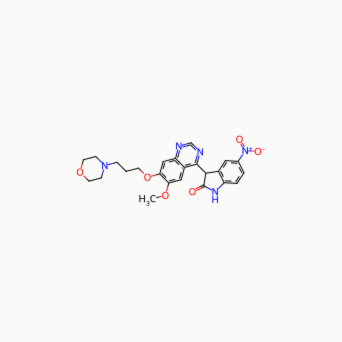 COc1cc2c(C3C(=O)Nc4ccc([N+](=O)[O-])cc43)ncnc2cc1OCCCN1CCOCC1